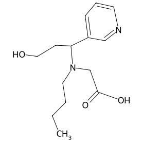 CCCCN(CC(=O)O)C(CCO)c1cccnc1